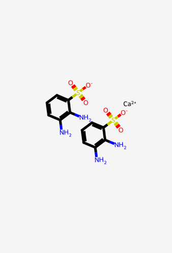 Nc1cccc(S(=O)(=O)[O-])c1N.Nc1cccc(S(=O)(=O)[O-])c1N.[Ca+2]